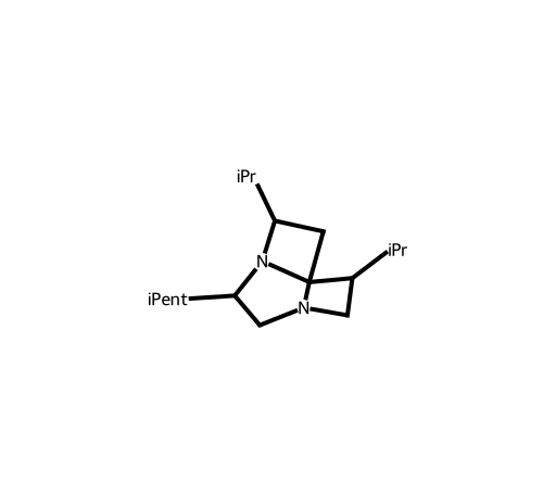 CCCC(C)C1CN2CC(C(C)C)C23CC(C(C)C)N13